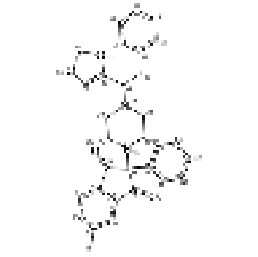 Cc1ccc2c(c1)C(=O)[C@@](c1ccccc1)(N1CCN(C(Cc3ccccc3)C3=COCO3)CC1)C2=O